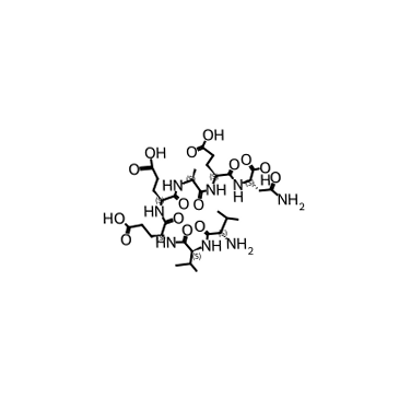 CC(C)[C@H](N)C(=O)N[C@H](C(=O)N[C@@H](CCC(=O)O)C(=O)N[C@@H](CCC(=O)O)C(=O)N[C@@H](C)C(=O)N[C@@H](CCC(=O)O)C(=O)N[C@@H](CC(N)=O)C(=O)O)C(C)C